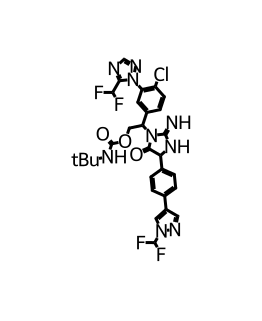 CC(C)(C)NC(=O)OCC(c1ccc(Cl)c(-n2ncnc2C(F)F)c1)N1C(=N)NC(c2ccc(-c3cnn(C(F)F)c3)cc2)C1=O